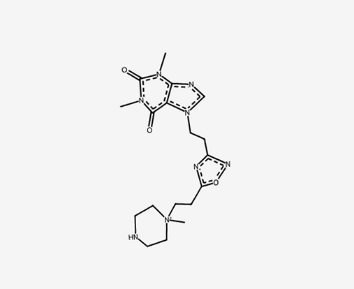 Cn1c(=O)c2c(ncn2CCc2noc(CC[N+]3(C)CCNCC3)n2)n(C)c1=O